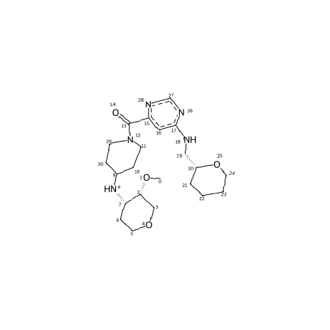 CO[C@@H]1COCC[C@@H]1NC1CCN(C(=O)c2cc(NC[C@H]3CCCCO3)ncn2)CC1